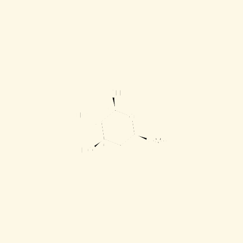 CO[C@H]1C[C@@H](O)[C@H](O)[C@@H](C)O1